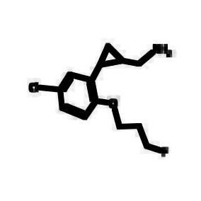 NCC1CC1c1cc(Cl)ccc1OCCCF